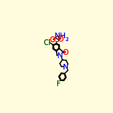 NS(=O)(=O)c1cc2c(cc1Cl)CN(C1CCN(Cc3ccc(F)cc3)CC1)C2=O